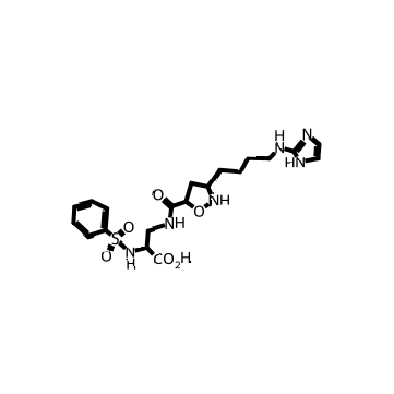 O=C(O)C(CNC(=O)C1CC(CCCCNc2ncc[nH]2)NO1)NS(=O)(=O)c1ccccc1